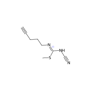 C#CCCC/N=C(/NC#N)SC